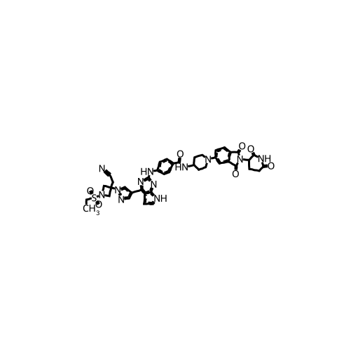 CCS(=O)(=O)N1CC(CC#N)(n2cc(-c3nc(Nc4ccc(C(=O)NC5CCN(c6ccc7c(c6)C(=O)N(C6CCC(=O)NC6=O)C7=O)CC5)cc4)nc4[nH]ccc34)cn2)C1